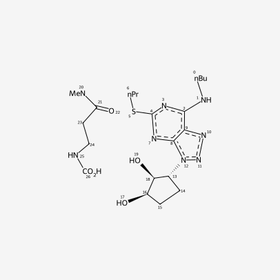 CCCCNc1nc(SCCC)nc2c1nnn2[C@@H]1CC[C@@H](O)[C@H]1O.CNC(=O)CCNC(=O)O